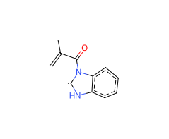 C=C(C)C(=O)N1[CH]Nc2ccccc21